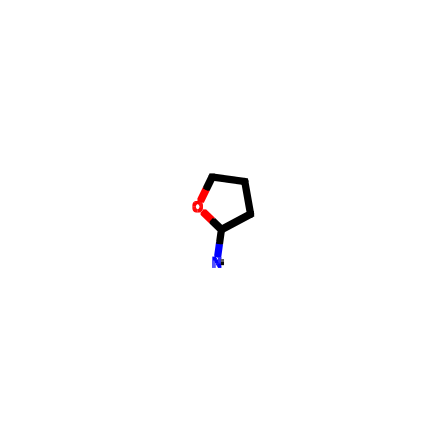 [N]C1CCCO1